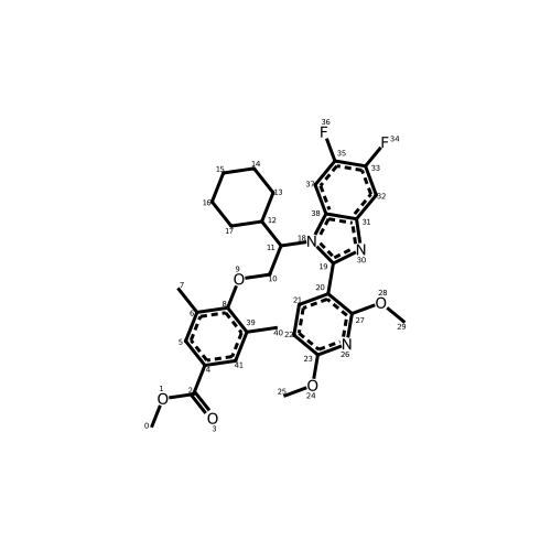 COC(=O)c1cc(C)c(OCC(C2CCCCC2)n2c(-c3ccc(OC)nc3OC)nc3cc(F)c(F)cc32)c(C)c1